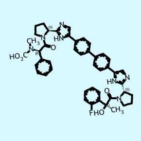 CN(C(=O)O)[C@@H](C(=O)N1CCC[C@H]1c1ncc(-c2ccc(-c3ccc(-c4cnc([C@@H]5CCCN5C(=O)[C@@](C)(O)c5ccccc5F)[nH]4)cc3)cc2)[nH]1)c1ccccc1